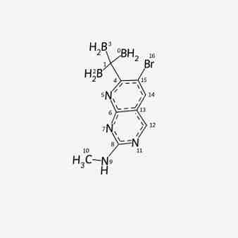 BC(B)(B)c1nc2nc(NC)ncc2cc1Br